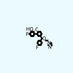 O=C(O)c1ccc(C(OCCn2ccnc2)c2ccc(F)cc2)cc1-c1ccc(F)cc1